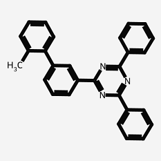 Cc1ccccc1-c1cccc(-c2nc(-c3ccccc3)nc(-c3ccccc3)n2)c1